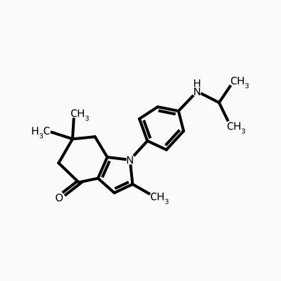 Cc1cc2c(n1-c1ccc(NC(C)C)cc1)CC(C)(C)CC2=O